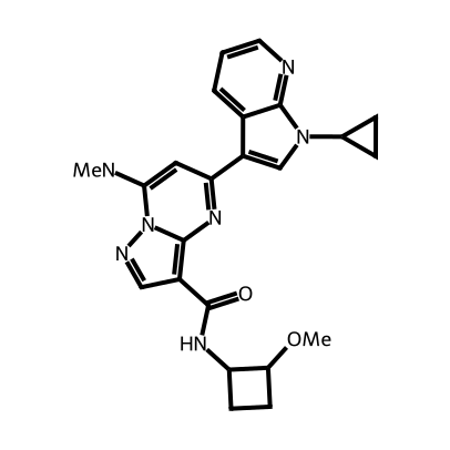 CNc1cc(-c2cn(C3CC3)c3ncccc23)nc2c(C(=O)NC3CCC3OC)cnn12